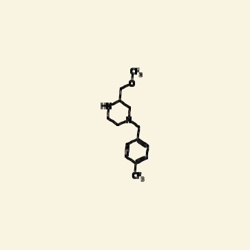 FC(F)(F)OCC1CN(Cc2ccc(C(F)(F)F)cc2)CCN1